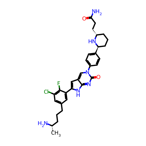 C[C@H](N)CCCc1cc(Cl)c(F)c(-c2cc3cn(-c4ccc([C@@H]5CCC[C@@H](CCC(N)=O)N5)cc4)c(=O)nc3[nH]2)c1